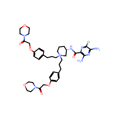 Nc1nc(N)c(C(=O)N[C@H]2CCC[N+](CCCc3ccc(OCC(=O)N4CCOCC4)cc3)(CCCc3ccc(OCC(=O)N4CCOCC4)cc3)C2)nc1Cl